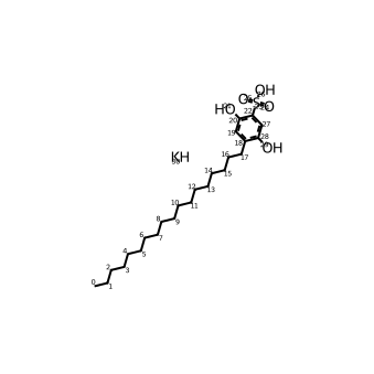 CCCCCCCCCCCCCCCCCCc1cc(O)c(S(=O)(=O)O)cc1O.[KH]